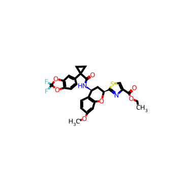 CCOC(=O)c1csc([C@@H]2C[C@H](NC(=O)C3(c4ccc5c(c4)OC(F)(F)O5)CC3)c3ccc(OC)cc3O2)n1